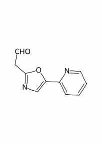 O=CCc1ncc(-c2ccccn2)o1